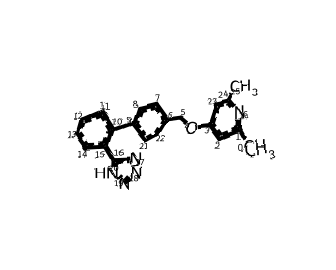 Cc1cc(OCc2ccc(-c3ccccc3-c3nnn[nH]3)cc2)cc(C)n1